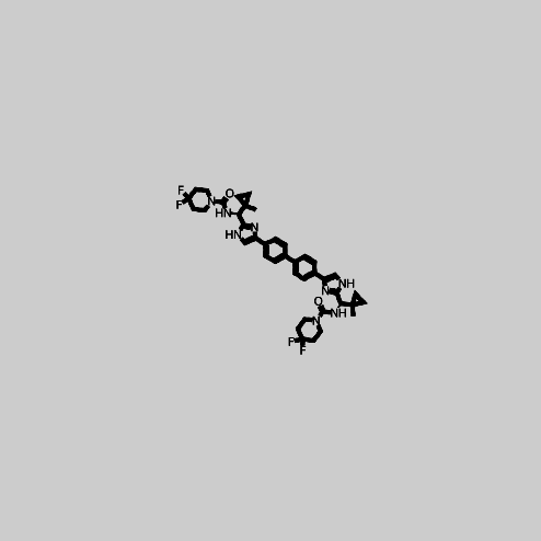 CC1([C@H](NC(=O)N2CCC(F)(F)CC2)c2nc(-c3ccc(-c4ccc(-c5c[nH]c([C@@H](NC(=O)N6CCC(F)(F)CC6)C6(C)CC6)n5)cc4)cc3)c[nH]2)CC1